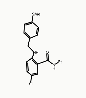 CCNC(=O)c1cc(Cl)ccc1NCc1ccc(SC)cc1